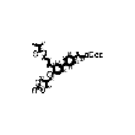 C=C(C)C(=O)OCCCc1cc(-c2ccc(CCCCCCCCCCCC)cc2)ccc1OCC1COC(=O)OC1